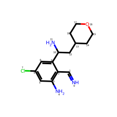 N=Cc1c(N)cc(Cl)cc1C(N)CC1CCOCC1